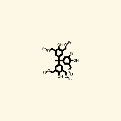 CCOCc1cc(C(C)(c2cc(COCC)c(O)c(COCC)c2)c2cc(COCC)c(O)c(COCC)c2)cc(CC)c1O